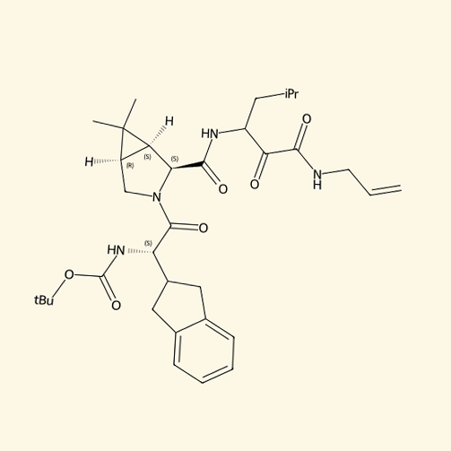 C=CCNC(=O)C(=O)C(CC(C)C)NC(=O)[C@@H]1[C@H]2[C@@H](CN1C(=O)[C@@H](NC(=O)OC(C)(C)C)C1Cc3ccccc3C1)C2(C)C